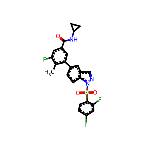 Cc1c(F)cc(C(=O)NC2CC2)cc1-c1ccc2c(cnn2S(=O)(=O)c2ccc(F)cc2F)c1